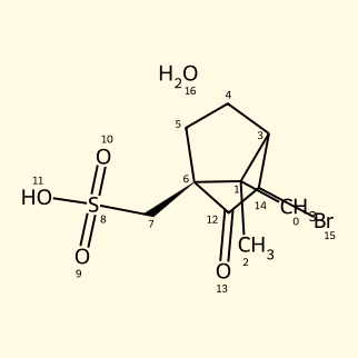 CC1(C)C2CC[C@@]1(CS(=O)(=O)O)C(=O)C2Br.O